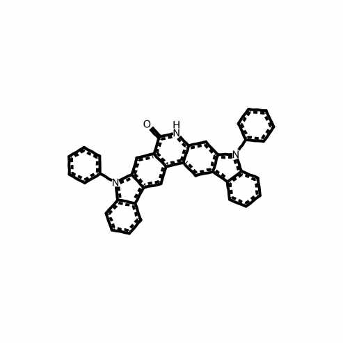 O=c1[nH]c2cc3c(cc2c2cc4c5ccccc5n(-c5ccccc5)c4cc12)c1ccccc1n3-c1ccccc1